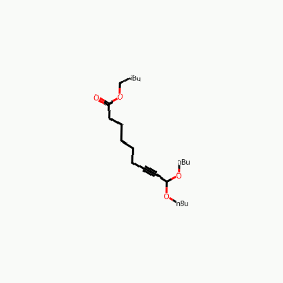 CCCCOC(C#CCCCCCC(=O)OCC(C)CC)OCCCC